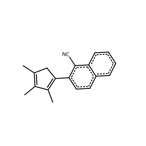 CC1=C(C)C(C)=C(c2ccc3ccccc3c2C#N)C1